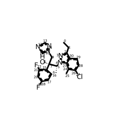 CCc1nn([C@H](C)[C@](O)(Cn2cncn2)c2ccc(F)cc2F)c2c(C)c(Cl)ccc12